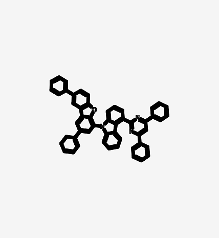 C1=CCCC(c2cc(-n3c4ccccc4c4c(-c5nc(-c6ccccc6)cc(-c6ccccc6)n5)cccc43)c3oc4ccc(-c5ccccc5)cc4c3c2)=C1